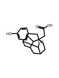 O=C(O)CC1(Cc2ccc(O)cc2)CCC2CC3CC(CC31)C2O